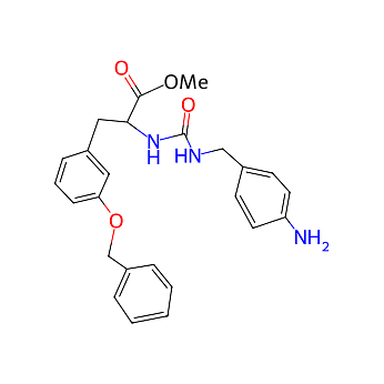 COC(=O)C(Cc1cccc(OCc2ccccc2)c1)NC(=O)NCc1ccc(N)cc1